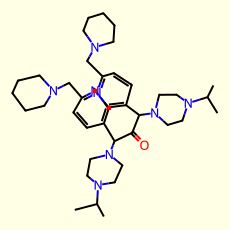 CC(C)N1CCN(C(C(=O)C(c2ccc(CN3CCCCC3)nc2)N2CCN(C(C)C)CC2)c2ccc(CN3CCCCC3)nc2)CC1